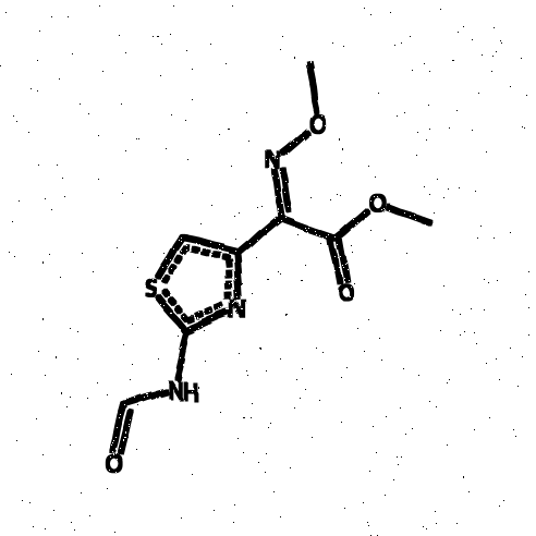 CON=C(C(=O)OC)c1csc(NC=O)n1